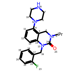 CC(C)N1Cc2c(N3CCNCC3)cccc2N(Cc2ccccc2F)C1=O